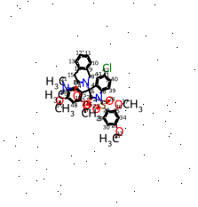 COc1ccc(C2(N3Cc4ccccc4C[C@H]3C(=O)N(C)C)C(=O)N(S(=O)(=O)c3ccc(OC)cc3OC)c3ccc(Cl)cc32)c(OC)c1